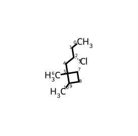 CC[C@H](Cl)CC1(C)CCC1C